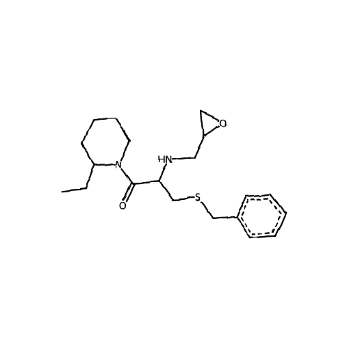 CCC1CCCCN1C(=O)C(CSCc1ccccc1)NCC1CO1